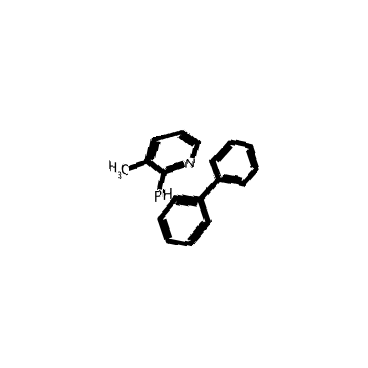 Cc1cccnc1P.c1ccc(-c2ccccc2)cc1